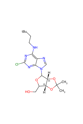 CC(C)(C)CCNc1nc(Cl)nc2c1ncn2C1OC(CO)[C@H]2OC(C)(C)O[C@@H]12